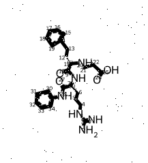 N=C(N)NCCC[C@H](NC(=O)[C@H](CCc1ccccc1)NCCC(=O)O)C(=O)Nc1ccccc1